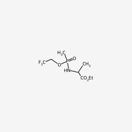 CCOC(=O)C(C)NP(C)(=O)OCC(F)(F)F